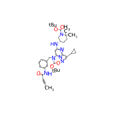 CC#CC(=O)Nc1cccc(CN(C(=O)OC(C)(C)C)c2cc(N[C@H]3CCC(C)(C)N(C(=O)OC(C)(C)C)C3)nc3c(C4CC4)cnn23)c1